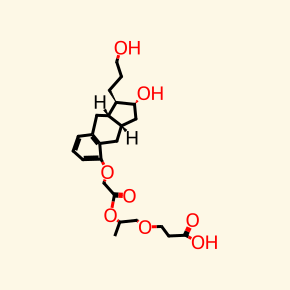 CC(COCCC(=O)O)OC(=O)COc1cccc2c1C[C@H]1C[C@@H](O)[C@H](CCCO)[C@H]1C2